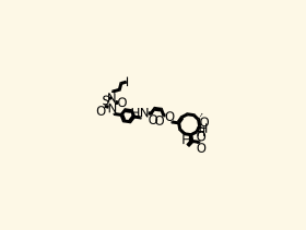 C=C1C(=O)O[C@H]2[C@H]1CC/C(COC(=O)/C=C\C(=O)NCc1ccc(Cn3c(=O)sn(CCCI)c3=O)cc1)=C\CC[C@@]1(C)O[C@@H]21